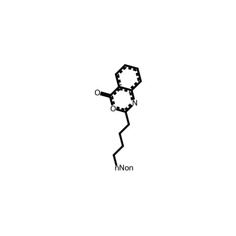 CCCCCCCCCCCCCc1nc2ccccc2c(=O)o1